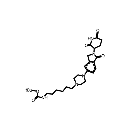 CC(C)(C)OC(=O)NCCCCCCN1CCN(c2ccc3c(c2)CN(C2CCC(=O)NC2=O)C3=O)CC1